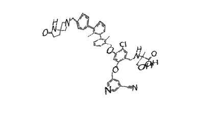 Cc1c(COc2cc(OCc3cncc(C#N)c3)c(CNC(C)(CO)C(=O)O)cc2Cl)cccc1-c1cccc(-c2ccc(CN3CC4(CCC(=O)N4)C3)cc2)c1C